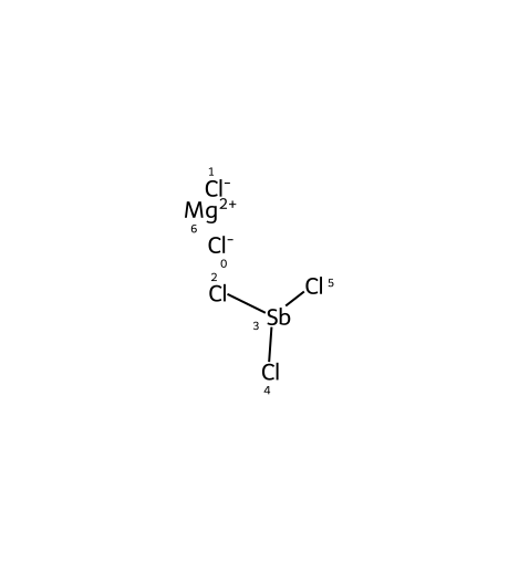 [Cl-].[Cl-].[Cl][Sb]([Cl])[Cl].[Mg+2]